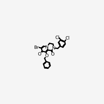 O=C1c2c(OCc3ccccc3)c(=O)c(Br)cn2CCN1Cc1ccc(Cl)c(Cl)c1